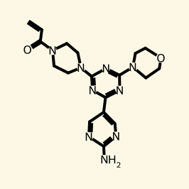 C=CC(=O)N1CCN(c2nc(-c3cnc(N)nc3)nc(N3CCOCC3)n2)CC1